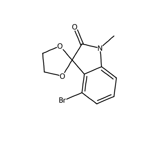 CN1C(=O)C2(OCCO2)c2c(Br)cccc21